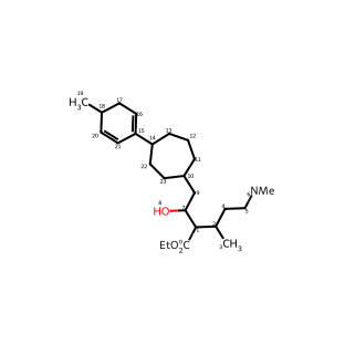 CCOC(=O)C(C(C)CCNC)C(O)CC1CCCC(C2=CCC(C)C=C2)CC1